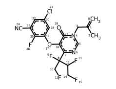 C=C(C)Cn1cnc(C(F)(CF)C(F)CF)c(Oc2cc(Cl)cc(C#N)c2F)c1=O